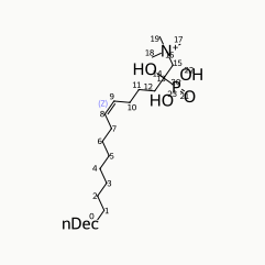 CCCCCCCCCCCCCCCCC/C=C\CCCC(O)(C[N+](C)(C)C)P(=O)(O)O